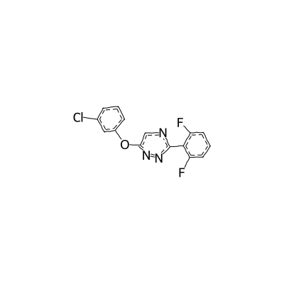 Fc1cccc(F)c1-c1ncc(Oc2cccc(Cl)c2)nn1